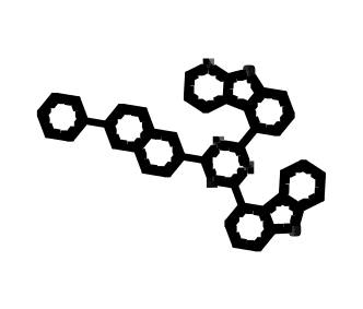 c1ccc(-c2ccc3cc(-c4nc(-c5cccc6oc7ccccc7c56)nc(-c5cccc6oc7ncccc7c56)n4)ccc3c2)cc1